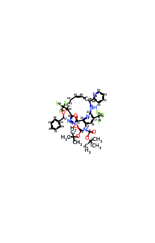 CC(C)(C)OC(=O)N(C(=O)OC(C)(C)C)c1cc(C(F)(F)F)c2nc1-c1nnc(o1)[C@@](OCc1ccccc1)(C(F)(F)F)CCC=CCC(c1ccccn1)N2